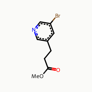 COC(=O)CCc1cncc(Br)c1